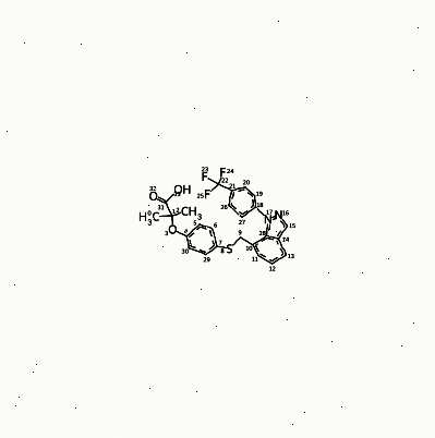 CC(C)(Oc1ccc(SCc2cccc3cnn(-c4ccc(C(F)(F)F)cc4)c23)cc1)C(=O)O